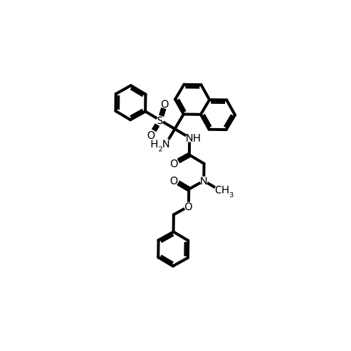 CN(CC(=O)NC(N)(c1cccc2ccccc12)S(=O)(=O)c1ccccc1)C(=O)OCc1ccccc1